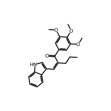 CCCC(=Cc1c[nH]c2ccccc12)C(=O)c1cc(OC)c(OC)c(OC)c1